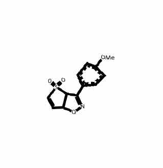 COc1ccc(C2=NOC3C=CS(=O)(=O)C23)cc1